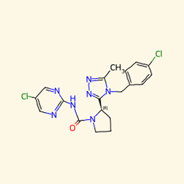 Cc1nnc([C@H]2CCCN2C(=O)Nc2ncc(Cl)cn2)n1Cc1ccc(Cl)cc1